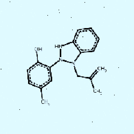 C=C(C)CN1c2ccccc2NN1c1cc(C)ccc1O